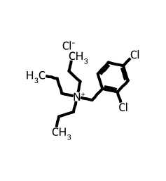 CCC[N+](CCC)(CCC)Cc1ccc(Cl)cc1Cl.[Cl-]